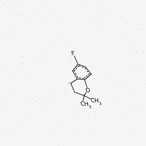 CC1(C)C[C]c2cc(F)ccc2O1